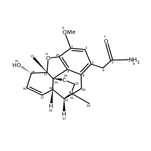 COc1cc(CC(N)=O)c2c3c1O[C@@]1(C)[C@@H](O)C=C[C@H]4[C@@H](C2)N(C)CC[C@@]341